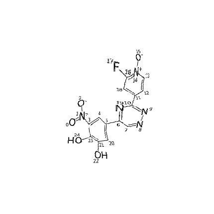 O=[N+]([O-])c1cc(-c2cnnc(-c3cc[n+]([O-])c(F)c3)n2)cc(O)c1O